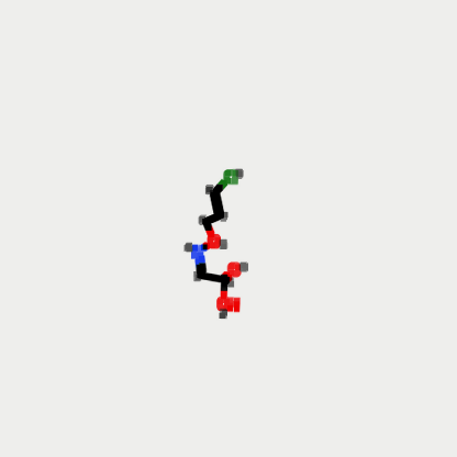 O=C(O)/C=N\OC/C=C/Cl